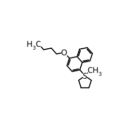 CCCCOc1ccc(S2(C)CCCC2)c2ccccc12